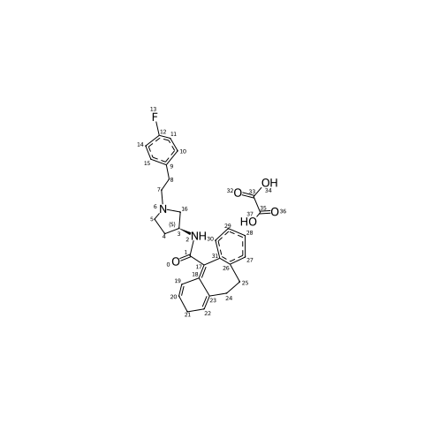 O=C(N[C@H]1CCN(CCc2ccc(F)cc2)C1)C1=C2C=CCC=C2CCc2ccccc21.O=C(O)C(=O)O